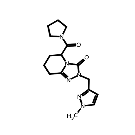 Cn1ccc(Cn2nc3n(c2=O)C(C(=O)N2CCCC2)CCC3)n1